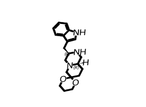 c1ccc2c(C[C@@H]3CN4CC5(CC[C@@H]4CN3)OCCCO5)c[nH]c2c1